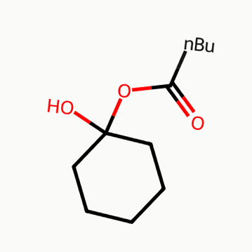 CCCCC(=O)OC1(O)CCCCC1